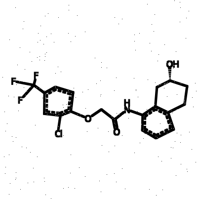 O=C(COc1ccc(C(F)(F)F)cc1Cl)Nc1cccc2c1C[C@H](O)CC2